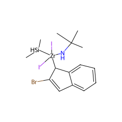 C[SiH](C)[Zr]([I])([I])([NH]C(C)(C)C)[CH]1C(Br)=Cc2ccccc21